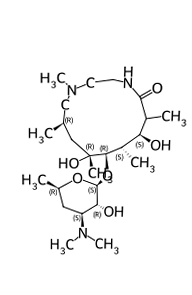 CC1C(=O)NCCN(C)C[C@H](C)C[C@@](C)(O)[C@H](O[C@@H]2O[C@H](C)C[C@H](N(C)C)[C@H]2O)[C@@H](C)[C@@H]1O